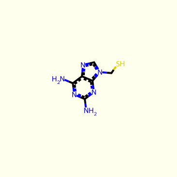 Nc1nc(N)c2ncn(CS)c2n1